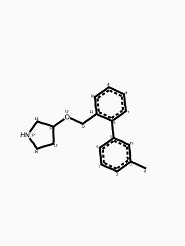 Cc1cccc(-c2ccccc2COC2CCNC2)c1